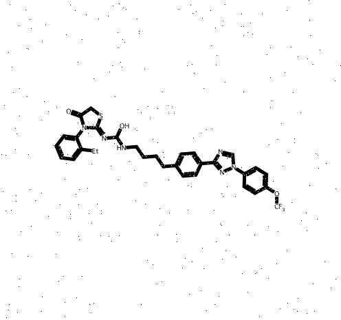 CCc1ccccc1N1C(=O)CS/C1=N\C(O)NCCCCc1ccc(-c2ncn(-c3ccc(OC(F)(F)F)cc3)n2)cc1